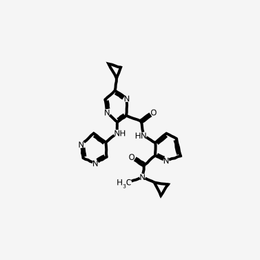 CN(C(=O)c1ncccc1NC(=O)c1nc(C2CC2)cnc1Nc1cncnc1)C1CC1